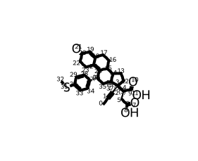 CC#C[C@]1([C@H](CC(=O)O)C(=O)O)CCC2C3CCC4=CC(=O)CCC4=C3[C@@H](c3ccc(SC)cc3)C[C@@]21C